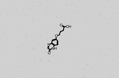 O=C(O)CCCOc1ccc2[nH]c(=O)cnc2c1